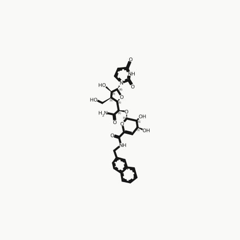 NC(=O)[C@H](O[C@H]1OC(C(=O)NCc2ccc3ccccc3c2)=C[C@H](O)[C@@H]1O)[C@H]1O[C@@H](n2ccc(=O)[nH]c2=O)[C@H](O)[C@@H]1CO